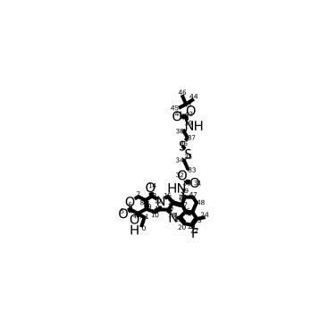 CC[C@@]1(O)C(=O)OCc2c1cc1n(c2=O)Cc2c-1nc1cc(F)c(C)c3c1c2[C@@H](NC(=O)OCCSSCCNC(=O)OC(C)(C)C)CC3